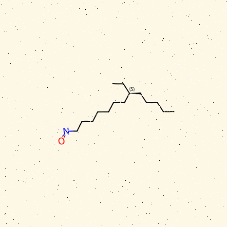 CCCCC[C@H](CC)CCCCCCCN=O